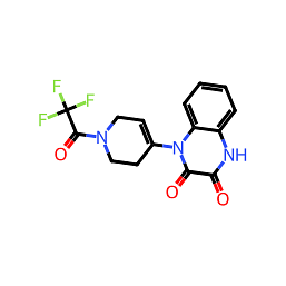 O=C(N1CC=C(n2c(=O)c(=O)[nH]c3ccccc32)CC1)C(F)(F)F